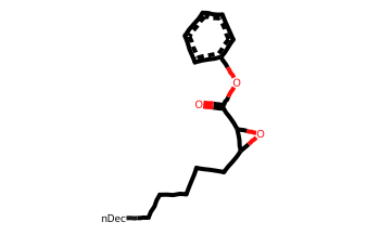 CCCCCCCCCCCCCCCC1OC1C(=O)Oc1ccccc1